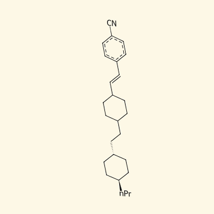 CCC[C@H]1CC[C@H](CCC2CCC(C=Cc3ccc(C#N)cc3)CC2)CC1